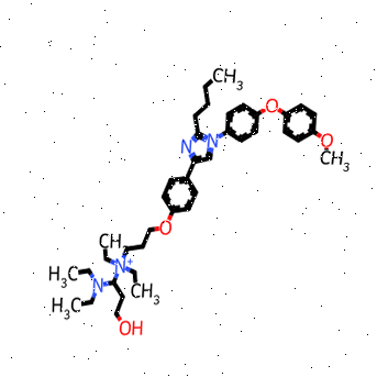 CCCCc1nc(-c2ccc(OCCC[N+](CC)(CC)C(CCO)N(CC)CC)cc2)cn1-c1ccc(Oc2ccc(OC)cc2)cc1